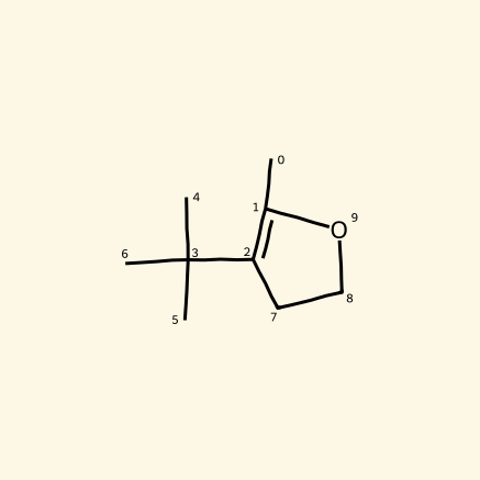 CC1=C(C(C)(C)C)CCO1